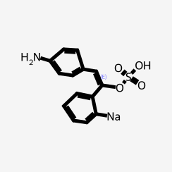 Nc1ccc(/C=C(/OS(=O)(=O)O)c2cccc[c]2[Na])cc1